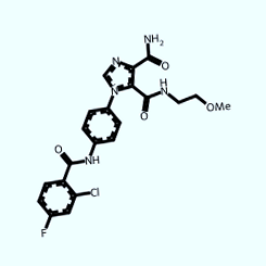 COCCNC(=O)c1c(C(N)=O)ncn1-c1ccc(NC(=O)c2ccc(F)cc2Cl)cc1